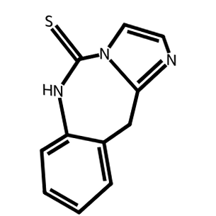 S=C1Nc2ccccc2Cc2nccn21